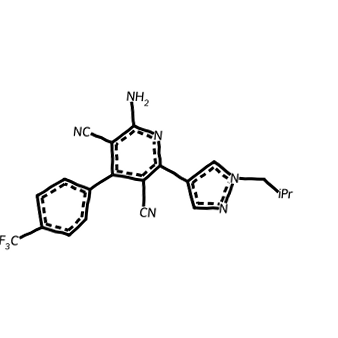 CC(C)Cn1cc(-c2nc(N)c(C#N)c(-c3ccc(C(F)(F)F)cc3)c2C#N)cn1